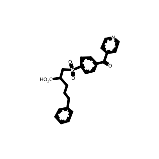 O=C(c1ccncc1)c1ccc(S(=O)(=O)CC(CCCc2ccccc2)C(=O)O)cc1